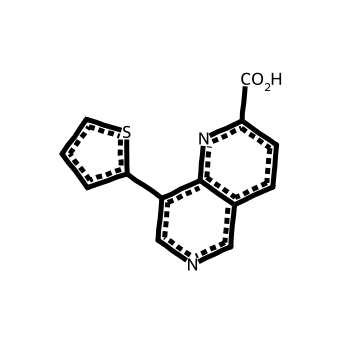 O=C(O)c1ccc2cncc(-c3cccs3)c2n1